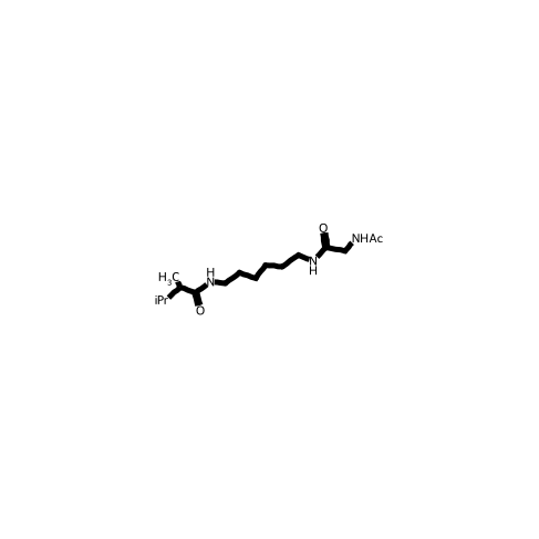 CC(=O)NCC(=O)NCCCCCCNC(=O)C(C)C(C)C